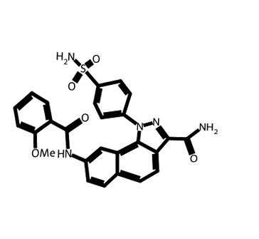 COc1ccccc1C(=O)Nc1ccc2ccc3c(C(N)=O)nn(-c4ccc(S(N)(=O)=O)cc4)c3c2c1